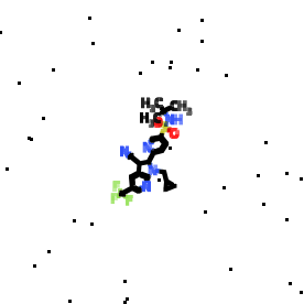 CC(C)(C)NS(=O)(=O)c1ccc(C2C(C#N)c3cc(C(F)(F)F)cnc3N2CC2CC2)nc1